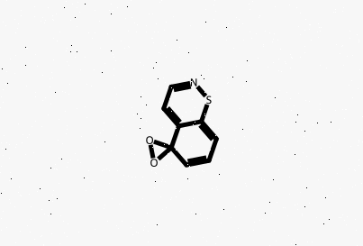 C1=CC2(OO2)C2=CC=NSC2=C1